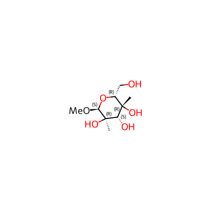 CO[C@H]1O[C@H](CO)[C@](C)(O)[C@H](O)[C@@]1(C)O